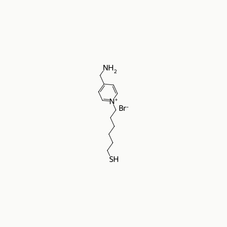 NCc1cc[n+](CCCCCCS)cc1.[Br-]